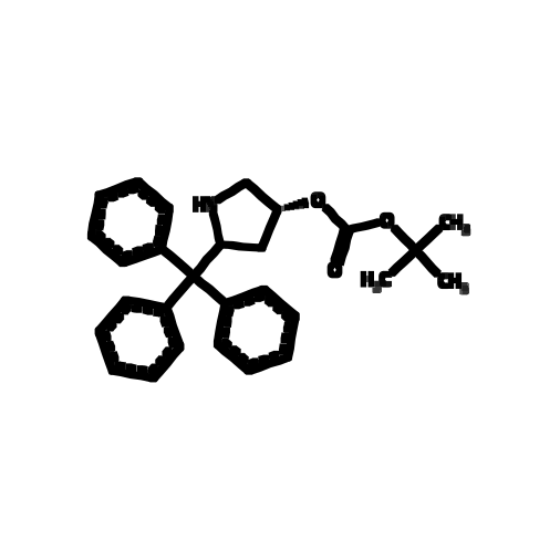 CC(C)(C)OC(=O)O[C@H]1CNC(C(c2ccccc2)(c2ccccc2)c2ccccc2)C1